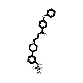 CC(C)S(=O)(=O)Nc1cccc(C2CCN(CCCC(=O)c3ccc(Oc4ccccc4)cc3)CC2)c1